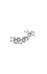 C=N/C(=C\C(=C/C)C(=O)Nc1ccc(C)c(-c2cnc(N(C)C)c(C#N)c2)c1)C(F)(F)F